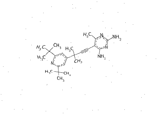 Cc1nc(N)nc(N)c1C#CC(C)(C)c1cc(C(C)(C)C)nc(C(C)(C)C)c1